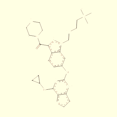 C[Si](C)(C)CCOCn1nc(C(=O)N2CCOCC2)c2ccc(Nc3nc(NC4CC4)c4occc4n3)cc21